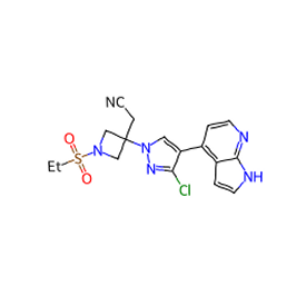 CCS(=O)(=O)N1CC(CC#N)(n2cc(-c3ccnc4[nH]ccc34)c(Cl)n2)C1